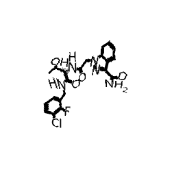 CC(O)[C@H](NC(=O)Cn1nc(C(N)=O)c2ccccc21)C(=O)NCc1cccc(Cl)c1F